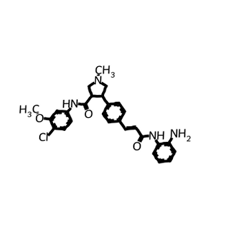 COc1cc(NC(=O)C2CN(C)CC2c2ccc(/C=C/C(=O)Nc3ccccc3N)cc2)ccc1Cl